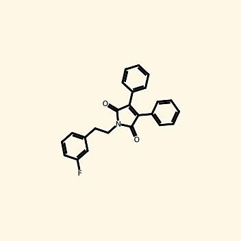 O=C1C(c2ccccc2)=C(c2ccccc2)C(=O)N1CCc1cccc(F)c1